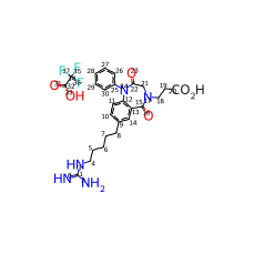 N=C(N)NCCCCCc1ccc2c(c1)C(=O)N(CCC(=O)O)CC(=O)N2c1ccccc1.O=C(O)C(F)(F)F